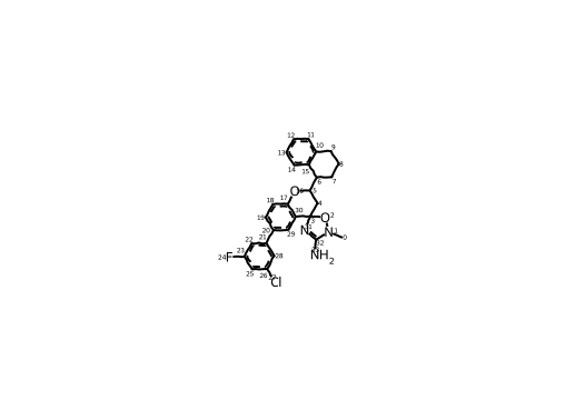 CN1OC2(CC(C3CCCc4ccccc43)Oc3ccc(-c4cc(F)cc(Cl)c4)cc32)N=C1N